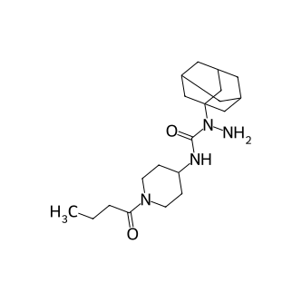 CCCC(=O)N1CCC(NC(=O)N(N)C23CC4CC(CC(C4)C2)C3)CC1